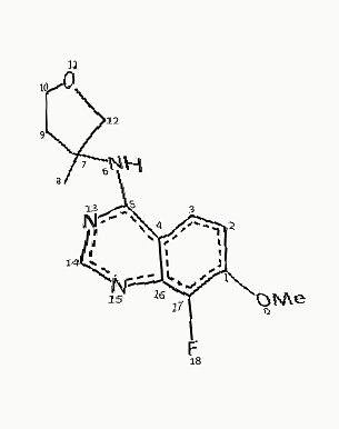 COc1ccc2c(NC3(C)CCOC3)ncnc2c1F